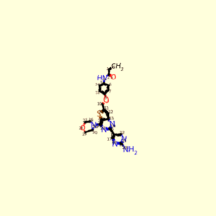 C=CC(=O)Nc1ccc(OCc2cc3nc(-c4cnc(N)nc4)nc(N4CCOCC4)c3s2)cc1